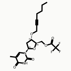 CCCCC#CCO[C@H]1C[C@H](n2cc(C)c(=O)[nH]c2=O)O[C@@H]1COC(=O)C(F)(F)F